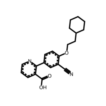 N#Cc1cc(-c2ncccc2C(=O)O)ccc1OCCC1CCCCC1